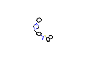 c1ccc(N2CCN(Cc3ccc(NSc4cccc5ccccc45)cc3)CC2)cc1